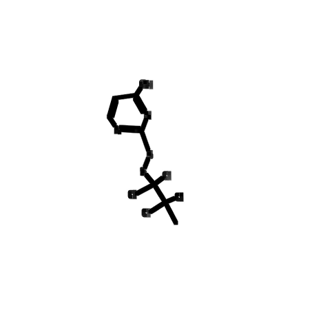 CC(Cl)(Cl)C(Cl)(Cl)SSc1nccc(O)n1